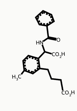 Cc1ccc(C(NC(=O)c2ccccc2)C(=O)O)c(CCCC(=O)O)c1